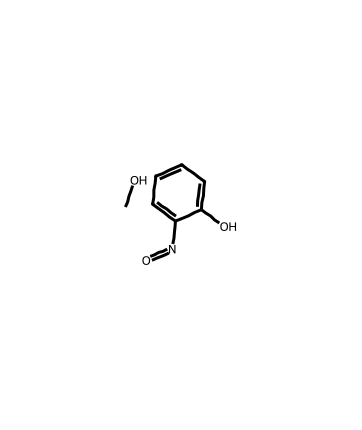 CO.O=Nc1ccccc1O